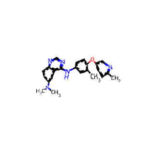 Cc1ccc(Oc2ccc(Nc3ncnc4ccc(N(C)C)cc34)cc2C)cn1